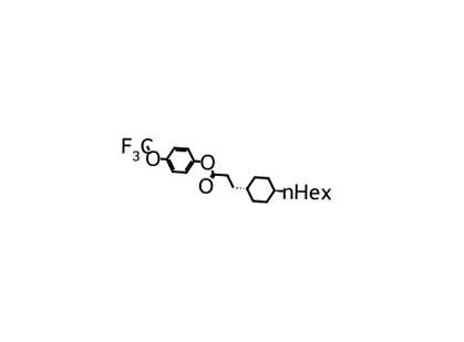 CCCCCC[C@H]1CC[C@H](CCC(=O)Oc2ccc(OC(F)(F)F)cc2)CC1